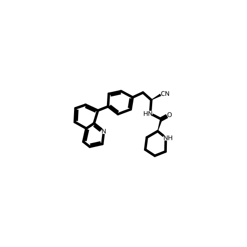 N#C[C@H](Cc1ccc(-c2cccc3cccnc23)cc1)NC(=O)[C@@H]1CCCCN1